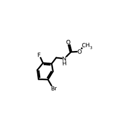 COC(=O)NCc1cc(Br)ccc1F